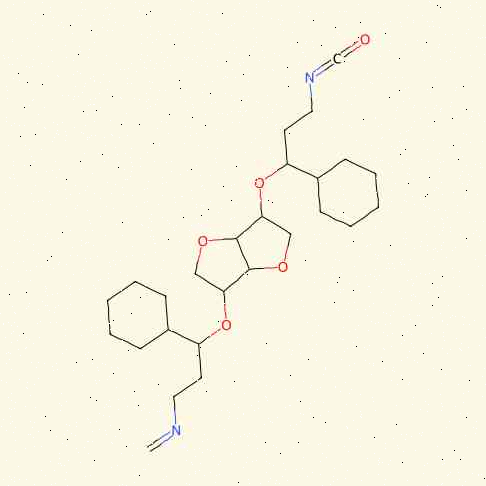 C=NCCC(OC1COC2C(OC(CCN=C=O)C3CCCCC3)COC12)C1CCCCC1